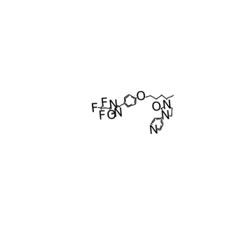 CC(CCCCOc1ccc(-c2noc(C(F)(F)F)n2)cc1)N1CCN(c2ccncc2)C1=O